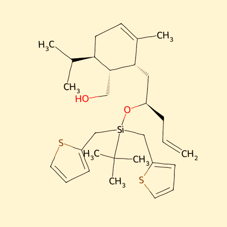 C=CC[C@H](C[C@H]1C(C)=CC[C@H](C(C)C)[C@H]1CO)O[Si](Cc1cccs1)(Cc1cccs1)C(C)(C)C